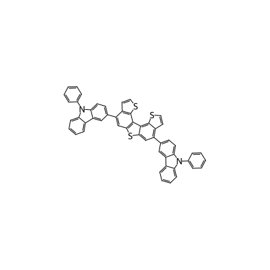 c1ccc(-n2c3ccccc3c3cc(-c4cc5sc6cc(-c7ccc8c(c7)c7ccccc7n8-c7ccccc7)c7ccsc7c6c5c5sccc45)ccc32)cc1